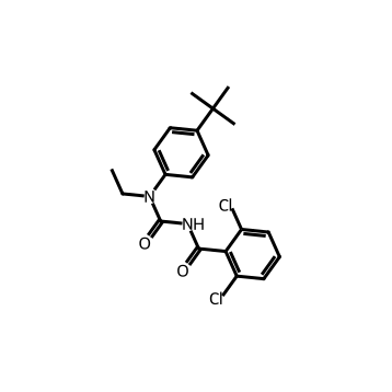 CCN(C(=O)NC(=O)c1c(Cl)cccc1Cl)c1ccc(C(C)(C)C)cc1